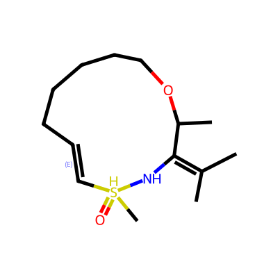 CC(C)=C1N[SH](C)(=O)/C=C/CCCCCOC1C